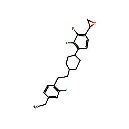 CCc1ccc(CCC2CCC(c3ccc(C4CO4)c(F)c3F)CC2)c(F)c1